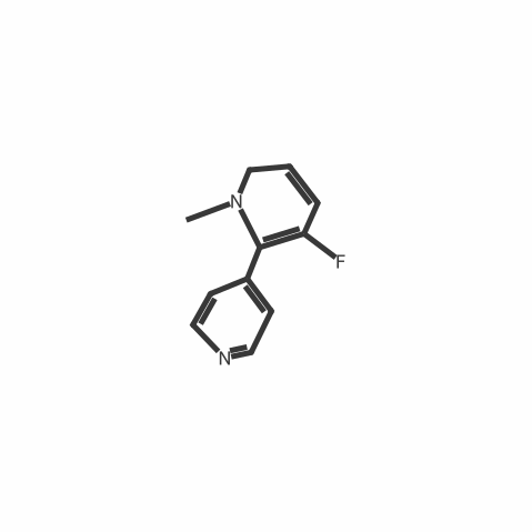 CN1CC=CC(F)=C1c1ccncc1